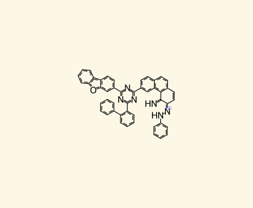 N=C1/C(=N\Nc2ccccc2)C=Cc2ccc3ccc(-c4nc(-c5ccc6c(c5)oc5ccccc56)nc(-c5ccccc5-c5ccccc5)n4)cc3c21